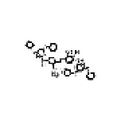 O=S(=O)(O)c1cc(Nc2nc(Sc3ccccc3)cc(Sc3ccccc3)n2)ccc1C=Cc1ccc(Nc2nc(Sc3ccccc3)cc(Sc3ccccc3)n2)cc1S(=O)(=O)O.[Na].[Na]